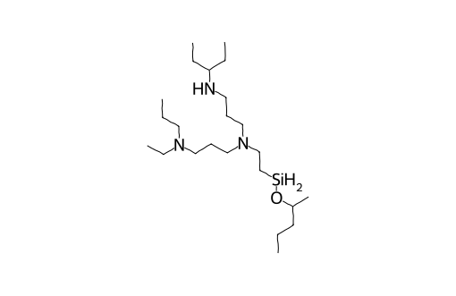 CCCC(C)O[SiH2]CCN(CCCNC(CC)CC)CCCN(CC)CCC